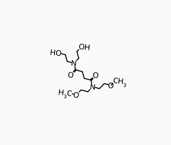 COCCN(CCOC)C(=O)CCC(=O)N(CCO)CCO